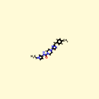 CCn1ccc(NC(=O)N2CCN(c3nc(Cc4ccc(C)cc4)ns3)CC2)c1